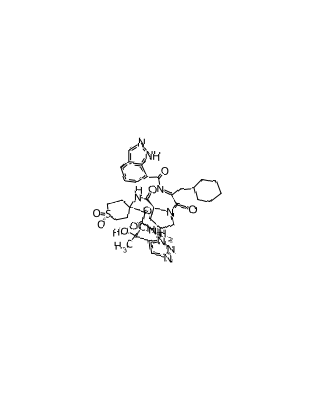 CC(C)(O)c1cnnn1[C@H]1C[C@@H](C(=O)NC2(C(=O)C(N)=O)CCS(=O)(=O)CC2)N(C(=O)/C(CC2CCCCC2)=N/C(=O)c2cccc3cn[nH]c23)C1